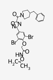 C=C(C)ONC(=O)COc1c(Br)cc(-c2noc(C(=O)N3CCC(Cc4ccccc4)CC3)n2)cc1Br